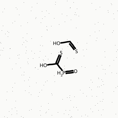 O=[PH2]C(O)=S.OC=S